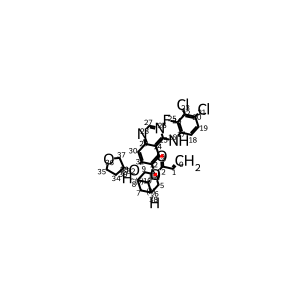 C=CC(=O)N1C[C@H]2C[C@@H](C1)C2Oc1cc2c(Nc3ccc(Cl)c(Cl)c3F)ncnc2cc1O[C@@H]1CCOC1